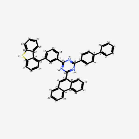 c1ccc(-c2ccc(-c3nc(-c4cccc(-c5cccc6sc7ccccc7c56)c4)nc(-c4cc5ccccc5c5ccccc45)n3)cc2)cc1